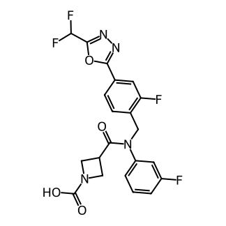 O=C(O)N1CC(C(=O)N(Cc2ccc(-c3nnc(C(F)F)o3)cc2F)c2cccc(F)c2)C1